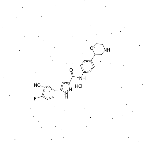 Cl.N#Cc1cc(-c2cc(C(=O)Nc3ccc(C4CNCCO4)cc3)n[nH]2)ccc1F